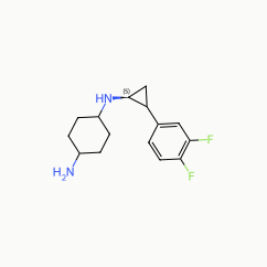 NC1CCC(N[C@H]2CC2c2ccc(F)c(F)c2)CC1